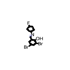 Oc1c(Br)cc(Br)cc1/C=N/c1ccc(F)cc1